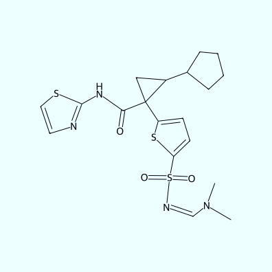 CN(C)/C=N\S(=O)(=O)c1ccc(C2(C(=O)Nc3nccs3)CC2C2CCCC2)s1